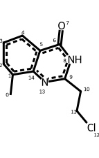 Cc1cccc2c(=O)[nH]c(CCCl)nc12